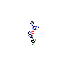 C[C@@H]1CN(CC(=O)N2CC(C)(C)c3ncc(Cc4ccc(F)cc4F)cc32)[C@@H](CN2CC[C@@H](F)C2)CN1